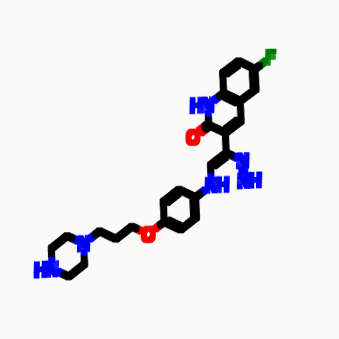 N=N/C(=C\Nc1ccc(OCCCN2CCNCC2)cc1)c1cc2cc(F)ccc2[nH]c1=O